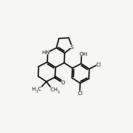 CC1(C)CCC2=C(C1=O)C(c1cc(Cl)cc(Cl)c1O)C1=C(CCS1)N2